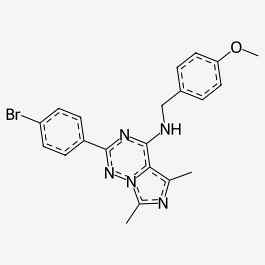 COc1ccc(CNc2nc(-c3ccc(Br)cc3)nn3c(C)nc(C)c23)cc1